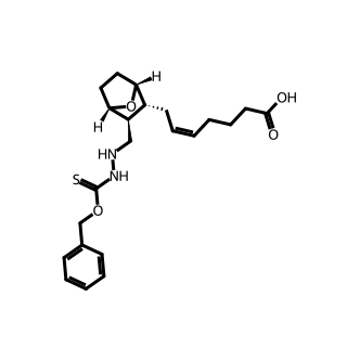 O=C(O)CCC/C=C\C[C@@H]1[C@@H](CNNC(=S)OCc2ccccc2)[C@@H]2CC[C@H]1O2